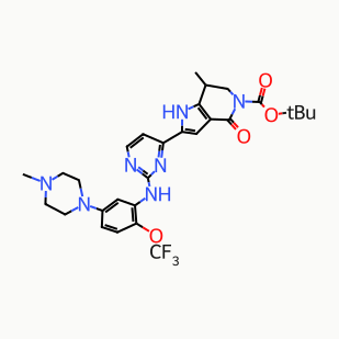 CC1CN(C(=O)OC(C)(C)C)C(=O)c2cc(-c3ccnc(Nc4cc(N5CCN(C)CC5)ccc4OC(F)(F)F)n3)[nH]c21